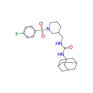 O=C(NCC1CCCN(S(=O)(=O)c2ccc(F)cc2)C1)NC12CC3CC(CC(C3)C1)C2